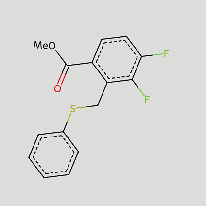 COC(=O)c1ccc(F)c(F)c1CSc1ccccc1